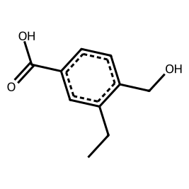 CCc1cc(C(=O)O)ccc1CO